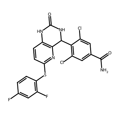 NC(=O)c1cc(Cl)c(C2NC(=O)Nc3ccc(Sc4ccc(F)cc4F)nc32)c(Cl)c1